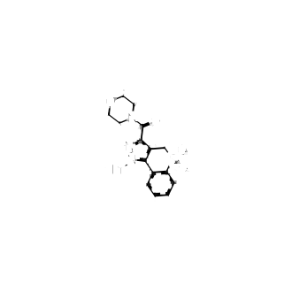 CCCn1nc(C(=O)N2CCOCC2)c2c1-c1ccccc1S(=O)(=O)C2